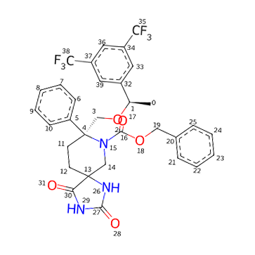 C[C@@H](OC[C@@]1(c2ccccc2)CCC2(CN1C(=O)OCc1ccccc1)NC(=O)NC2=O)c1cc(C(F)(F)F)cc(C(F)(F)F)c1